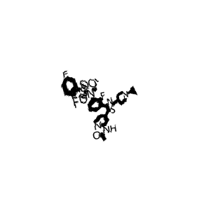 COCN(c1cccc(-c2nc(C3CCN(C4CC4)CC3)sc2-c2ccnc(NC(C)=O)c2)c1F)S(=O)(=O)c1cc(F)ccc1F